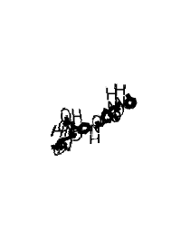 COc1cc(CC(=O)Nc2ccc(C(CC(=O)O)NC(=O)c3cc(C)on3)cc2)ccc1NC(=O)Nc1ccccc1C